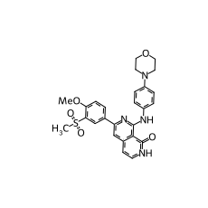 COc1ccc(-c2cc3cc[nH]c(=O)c3c(Nc3ccc(N4CCOCC4)cc3)n2)cc1S(C)(=O)=O